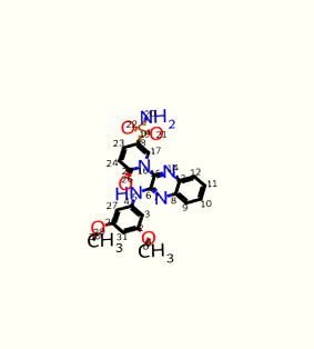 COc1cc(Nc2nc3ccccc3nc2-n2cc(S(N)(=O)=O)ccc2=O)cc(OC)c1